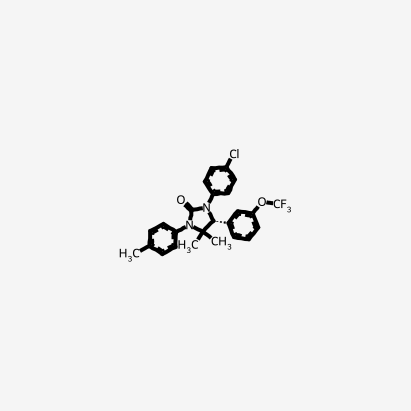 Cc1ccc(N2C(=O)N(c3ccc(Cl)cc3)[C@H](c3cccc(OC(F)(F)F)c3)C2(C)C)cc1